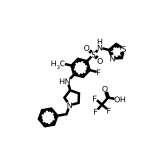 Cc1cc(S(=O)(=O)Nc2cscn2)c(F)cc1NC1CCN(Cc2ccccc2)C1.O=C(O)C(F)(F)F